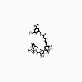 CNc1cc(COC(=O)CCC#Cc2cn([C@H]3C[C@@H](O)[C@@H](COP(=O)(O)n4ccnc4C)O3)c(=O)[nH]c2=O)cc(NC)c1